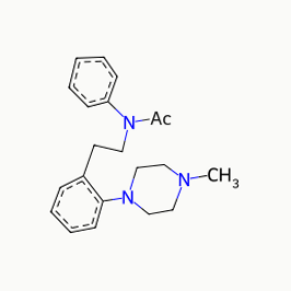 CC(=O)N(CCc1ccccc1N1CCN(C)CC1)c1ccccc1